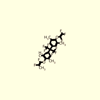 C/C(F)=C(/F)Oc1c(C)cc(C(c2cc(C)c(OC(F)=C(F)F)c(C)c2)(C(F)(F)F)C(F)(F)F)cc1C